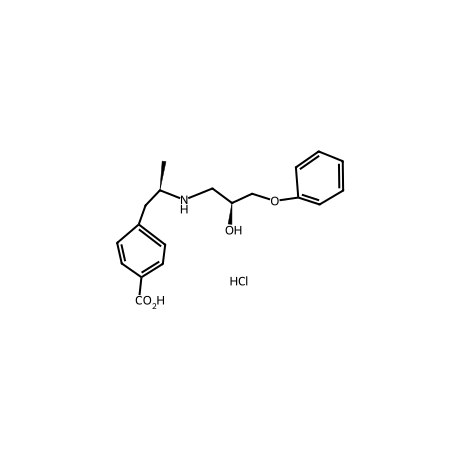 C[C@H](Cc1ccc(C(=O)O)cc1)NC[C@H](O)COc1ccccc1.Cl